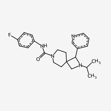 CC(C)N1CC2(CCN(C(=O)Nc3ccc(F)cc3)CC2)C1c1cccnc1